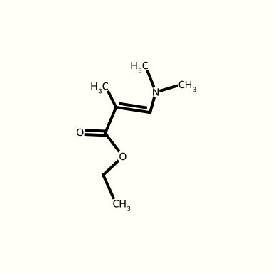 CCOC(=O)C(C)=CN(C)C